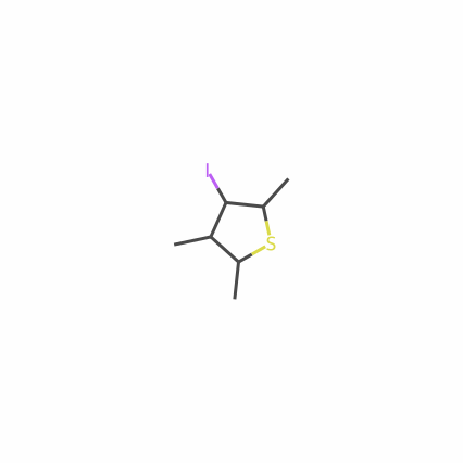 CC1SC(C)C(I)C1C